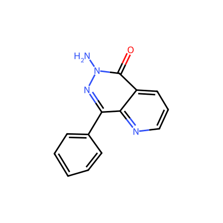 Nn1nc(-c2ccccc2)c2ncccc2c1=O